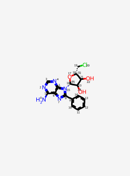 Nc1ncnc2c1nc(-c1ccccc1)n2[C@@H]1O[C@H](CCl)C(O)C1O